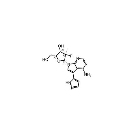 C[C@@]1(F)[C@H](O)[C@@H](CO)O[C@H]1n1cc(-c2ccn[nH]2)c2c(N)ncnc21